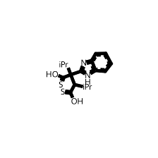 CC(C)C(C(O)=S)C(C(O)=S)(c1nc2ccccc2[nH]1)C(C)C